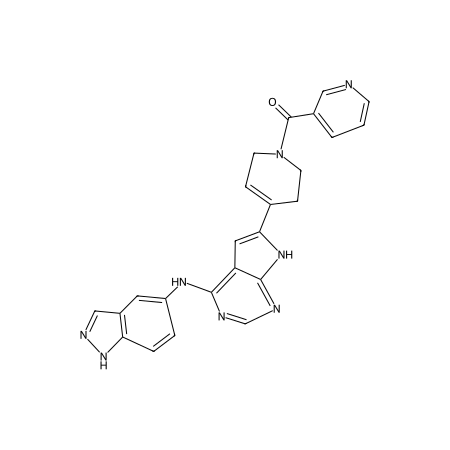 O=C(c1cccnc1)N1CC=C(c2cc3c(Nc4ccc5[nH]ncc5c4)ncnc3[nH]2)CC1